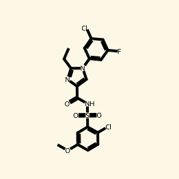 CCc1nc(C(=O)NS(=O)(=O)c2cc(OC)ccc2Cl)cn1-c1cc(F)cc(Cl)c1